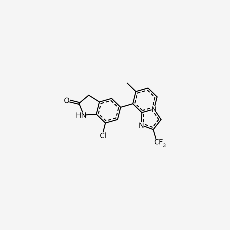 Cc1ccn2cc(C(F)(F)F)nc2c1-c1cc(Cl)c2c(c1)CC(=O)N2